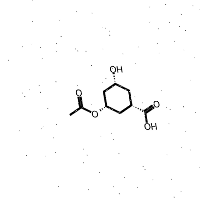 CC(=O)O[C@@H]1C[C@H](O)C[C@H](C(=O)O)C1